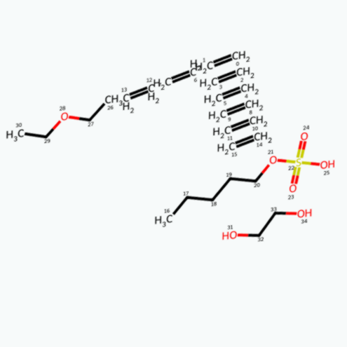 C=C.C=C.C=C.C=C.C=C.C=C.C=C.C=C.CCCCCOS(=O)(=O)O.CCOCC.OCCO